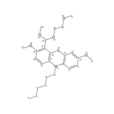 CCCCCCN1c2ccc(OC)cc2Sc2c1ccc(OC)c2C(OC)OCCOC